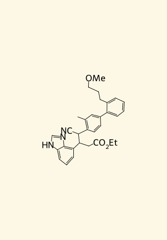 CCOC(=O)CC(c1cccc2[nH]cnc12)C(C#N)c1ccc(-c2ccccc2CCCOC)cc1C